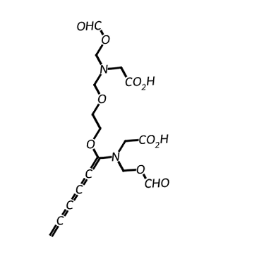 C=C=C=C=C=C(OCCOCN(COC=O)CC(=O)O)N(COC=O)CC(=O)O